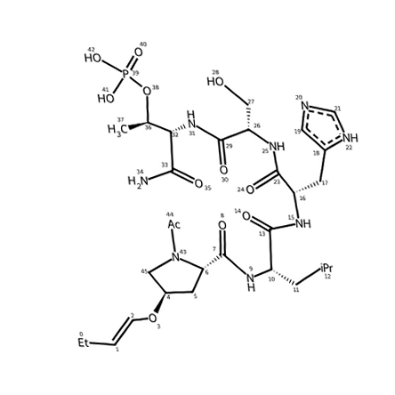 CC/C=C/O[C@@H]1C[C@@H](C(=O)N[C@@H](CC(C)C)C(=O)N[C@@H](Cc2cnc[nH]2)C(=O)N[C@@H](CO)C(=O)N[C@H](C(N)=O)[C@@H](C)OP(=O)(O)O)N(C(C)=O)C1